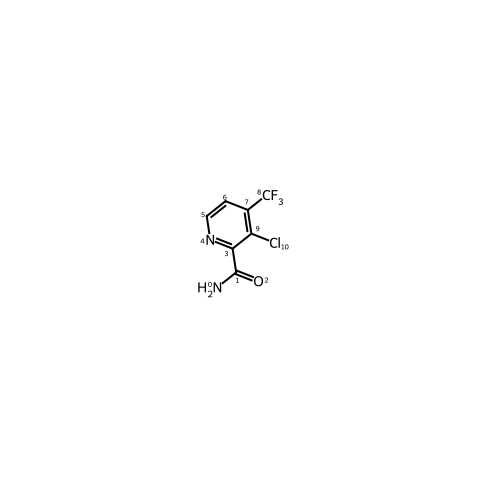 NC(=O)c1nccc(C(F)(F)F)c1Cl